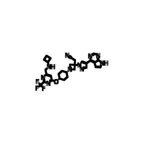 N#CCC1(n2cc(-c3ncnc4[nH]ccc34)cn2)CN([C@H]2CC[C@@H](Oc3cc(CNC4CCC4)nc(C(F)(F)F)n3)CC2)C1